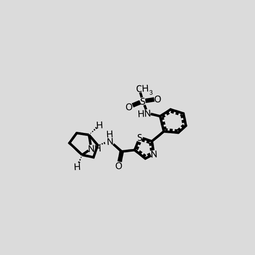 CS(=O)(=O)Nc1ccccc1-c1ncc(C(=O)N[C@@H]2C[C@H]3CC[C@@H]2N3)s1